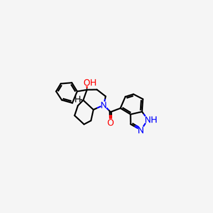 O=C(c1cccc2[nH]ncc12)N1CC[C@@](O)(c2ccccc2)[C@@H]2CCCCC21